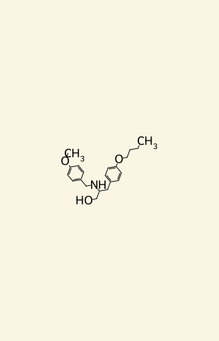 CCCCOc1ccc(CC(CO)NCc2ccc(OC)cc2)cc1